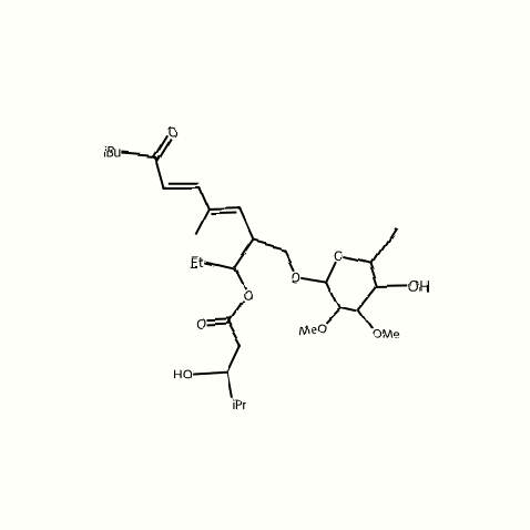 CCC(C)C(=O)/C=C/C(C)=C/C(COC1OC(C)C(O)C(OC)C1OC)C(CC)OC(=O)CC(O)C(C)C